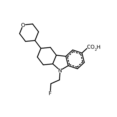 O=C(O)c1ccc2c(c1)C1CC(C3CCOCC3)CCC1N2CCF